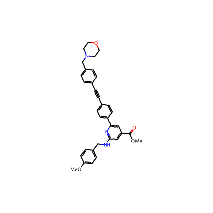 COC(=O)c1cc(NCc2ccc(OC)cc2)nc(-c2ccc(C#Cc3ccc(CN4CCOCC4)cc3)cc2)c1